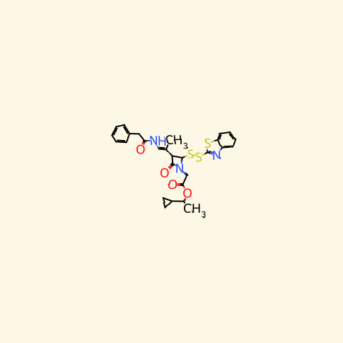 CC(=CNC(=O)Cc1ccccc1)C1C(=O)N(CC(=O)OC(C)C2CC2)C1SSc1nc2ccccc2s1